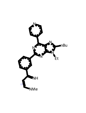 CCCCc1nc2c(-c3ccncc3)nc(-c3cccc(C(=N)/C=C\NC)c3)nc2n1CC